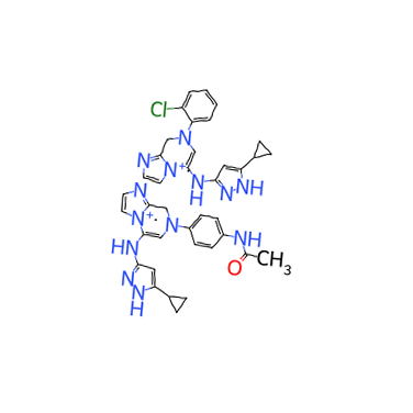 CC(=O)Nc1ccc(N2C=C(Nc3cc(C4CC4)[nH]n3)[N+]3C=CN=C3C2)cc1.Clc1ccccc1N1C=C(Nc2cc(C3CC3)[nH]n2)[N+]2C=CN=C2C1